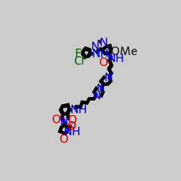 COc1cc2ncnc(Nc3ccc(F)c(Cl)c3)c2cc1NC(=O)/C=C/CN1CCC(N2CCN(CCCCCCNc3cccc4c3C(=O)N(C3CCC(=O)NC3=O)C4=O)CC2)CC1